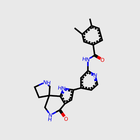 Cc1ccc(C(=O)Nc2cc(-c3cc4c([nH]3)C3(CCNC3)CNC4=O)ccn2)cc1C